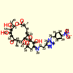 CC[C@H]1OC(=O)[C@H](C)C[C@H](C)[C@@H](O[C@@H]2O[C@H](C)C[C@H](N(C)CCc3cn(Cc4ccc([N+](=O)[O-])cc4)nn3)[C@H]2O)[C@](C)(OC)C[C@@H](C)C(=O)[C@H](C)[C@@H](O)[C@]1(C)O